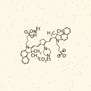 CCNOS(=O)(=O)CCCN1/C(=C/C=C2\CCC(/C=C/C3=[N+](CCCS(=O)(=O)[O-])c4ccc5ccccc5c4C3(C)C)=C2N2CCN(C(=O)OCC)CC2)C(C)(C)c2c1ccc1ccccc21